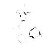 Cc1cc([C@@H](C)O[C@H]2OCCN[C@H]2c2ccccc2)cc(C)c1F